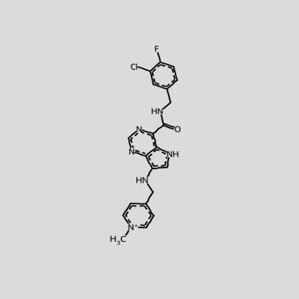 C[n+]1ccc(CNc2c[nH]c3c(C(=O)NCc4ccc(F)c(Cl)c4)ncnc23)cc1